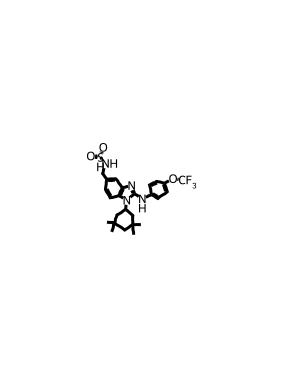 CC1(C)CC(n2c(Nc3ccc(OC(F)(F)F)cc3)nc3cc(CN[SH](=O)=O)ccc32)CC(C)(C)C1